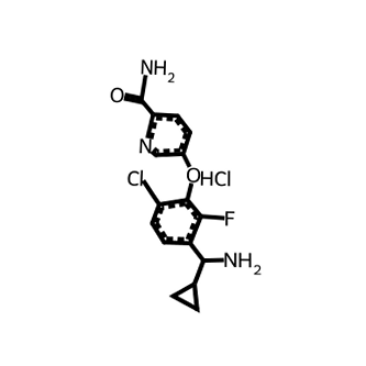 Cl.NC(=O)c1ccc(Oc2c(Cl)ccc(C(N)C3CC3)c2F)cn1